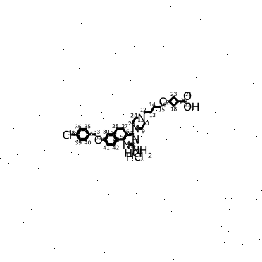 Cl.Cl.Nc1nc2c(c(N3CCN(CCCCOC4CC(C(=O)O)C4)CC3)n1)CCc1cc(OCc3ccc(Cl)cc3)ccc1-2